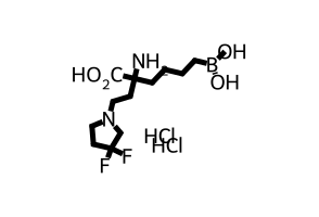 Cl.Cl.NC(CCCCB(O)O)(CCN1CCC(F)(F)C1)C(=O)O